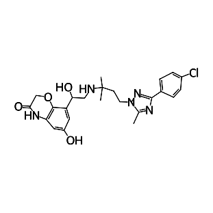 Cc1nc(-c2ccc(Cl)cc2)nn1CCC(C)(C)NCC(O)c1cc(O)cc2c1OCC(=O)N2